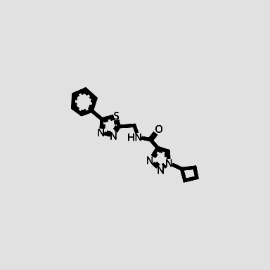 O=C(NCc1nnc(-c2ccccc2)s1)c1cn(C2CCC2)nn1